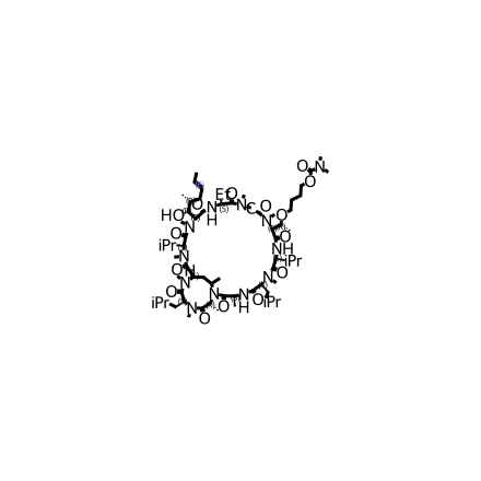 C/C=C/C[C@@H](C)[C@@H](O)[C@@H]1C(=O)N[C@@H](CC)C(=O)N(C)CC(=O)N(C)[C@@H]([C@@H](C)OCCCCOC(=O)N(C)C)C(=O)N[C@@H](C(C)C)C(=O)N(C)[C@@H](CC(C)C)C(=O)N[C@@H](C)C(=O)N2C(C)C[C@@H](C(=O)N(C)[C@@H](C(C)C)C(=O)N1C)N(C)C(=O)[C@H](CC(C)C)N(C)C(=O)[C@H]2C